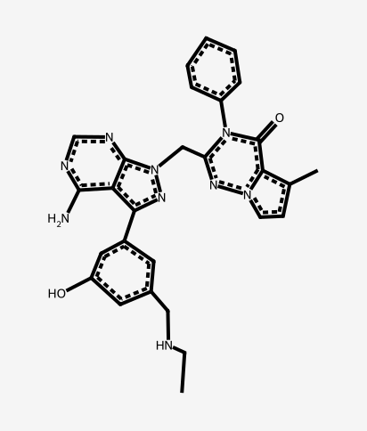 CCNCc1cc(O)cc(-c2nn(Cc3nn4ccc(C)c4c(=O)n3-c3ccccc3)c3ncnc(N)c23)c1